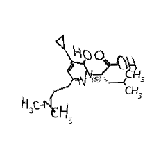 CC(C)C[C@@H](C(=O)O)N1N=C(CCN(C)C)C=C(C2CC2)C1O